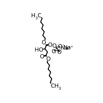 CCCCCCCCOC(=O)CC(O)C(=O)OCCCCCCCC.O=S(=O)([O-])[O-].[Na+].[Na+]